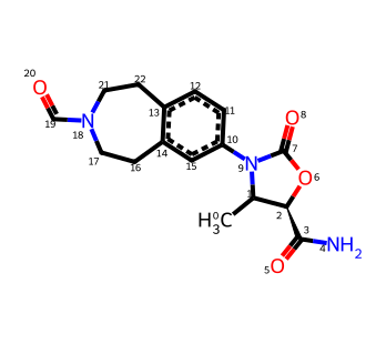 CC1[C@H](C(N)=O)OC(=O)N1c1ccc2c(c1)CCN(C=O)CC2